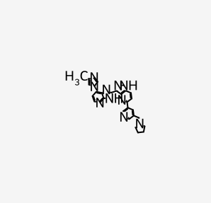 Cc1cn(-c2ccnc3[nH]c(-c4n[nH]c5ccc(-c6cncc(CN7CCCC7)c6)nc45)nc23)cn1